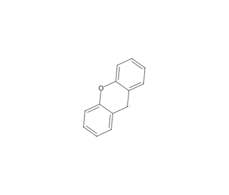 [CH]1c2ccccc2Oc2ccccc21